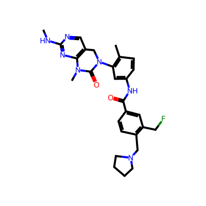 CNc1ncc2c(n1)N(C)C(=O)N(c1cc(NC(=O)c3ccc(CN4CCCC4)c(CF)c3)ccc1C)C2